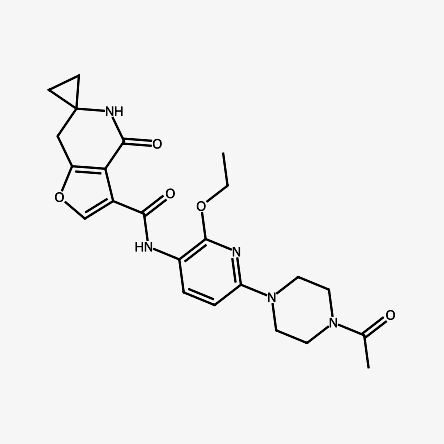 CCOc1nc(N2CCN(C(C)=O)CC2)ccc1NC(=O)c1coc2c1C(=O)NC1(CC1)C2